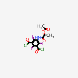 CC(=O)O[C@@H](C)C(=O)NC1=C(I)C(C(=O)Cl)C(I)C(C(=O)Cl)=C1I